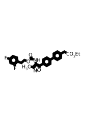 CCOC(=O)Cc1ccc(-c2ccc(-c3onc(C)c3NC(=O)OCCc3ccc(F)cc3F)cc2)cc1